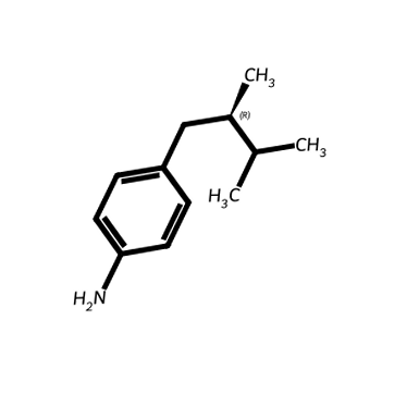 CC(C)[C@H](C)Cc1ccc(N)cc1